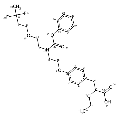 CCOC(Cc1ccc(OCCN(CCOCCC(C)(F)F)C(=O)Oc2ccccc2)cc1)C(=O)O